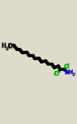 CCCCCCCCCCCCCCCCC(Cl)C(N)Cl